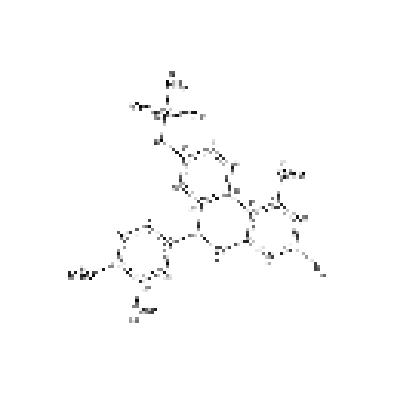 COc1ccc(C2Oc3cc(Br)cc(OC)c3-c3ccc(CS(N)(=O)=O)cc32)cc1OC